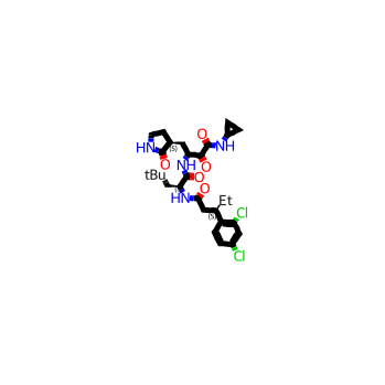 CC[C@@H](CC(=O)N[C@@H](CC(C)(C)C)C(=O)NC(C[C@@H]1CCNC1=O)C(=O)C(=O)NC1CC1)c1ccc(Cl)cc1Cl